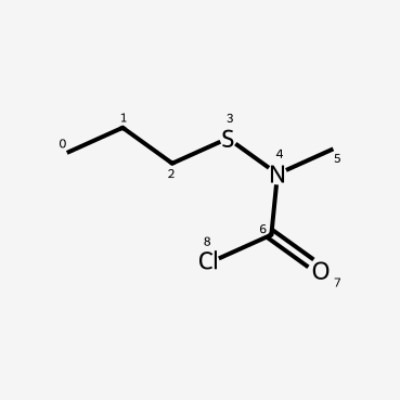 CCCSN(C)C(=O)Cl